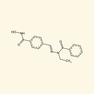 CCN(N=Cc1ccc(C(=O)NO)cc1)C(=O)c1ccccc1